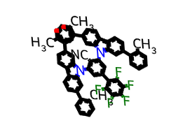 Cc1ccccc1-c1ccc2c3ccc(-c4ccccc4C)cc3n(-c3cc(-c4c(F)c(F)c(F)c(F)c4F)cc(-n4c5cc(-c6ccccc6C)ccc5c5ccc(-c6ccccc6C)cc54)c3C#N)c2c1